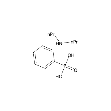 CCCNCCC.O=P(O)(O)c1ccccc1